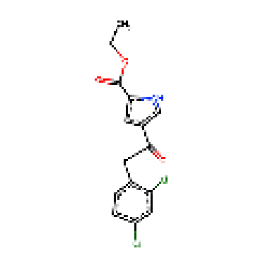 CCOC(=O)c1cc(C(=O)Cc2ccc(Cl)cc2Cl)c[nH]1